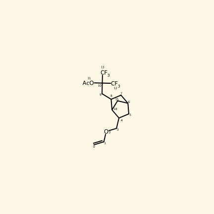 C=COCC1CC2CC(CC(OC(C)=O)(C(F)(F)F)C(F)(F)F)C1C2